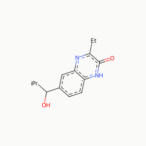 CCc1nc2cc(C(O)C(C)C)ccc2[nH]c1=O